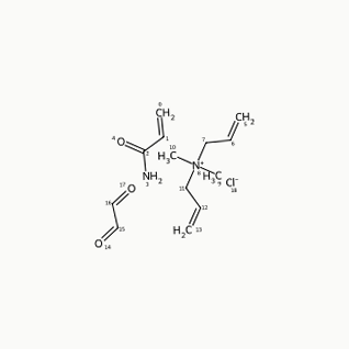 C=CC(N)=O.C=CC[N+](C)(C)CC=C.O=CC=O.[Cl-]